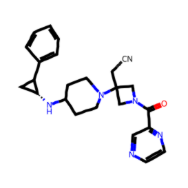 N#CCC1(N2CCC(N[C@@H]3CC3c3ccccc3)CC2)CN(C(=O)c2cnccn2)C1